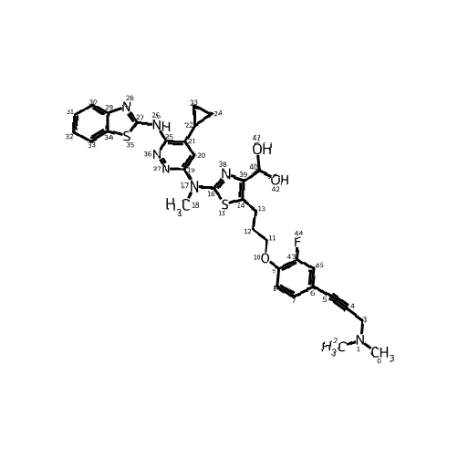 CN(C)CC#Cc1ccc(OCCCc2sc(N(C)c3cc(C4CC4)c(Nc4nc5ccccc5s4)nn3)nc2C(O)O)c(F)c1